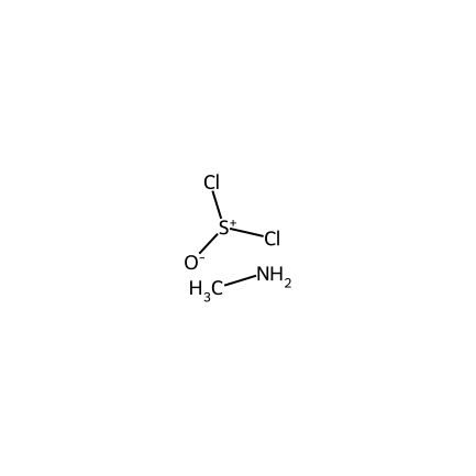 CN.[O-][S+](Cl)Cl